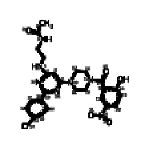 CC(=O)NCCNc1cc(N2CCN(C(=O)c3cc([N+](=O)[O-])ccc3O)CC2)nc(-c2ccc(Cl)cc2)n1